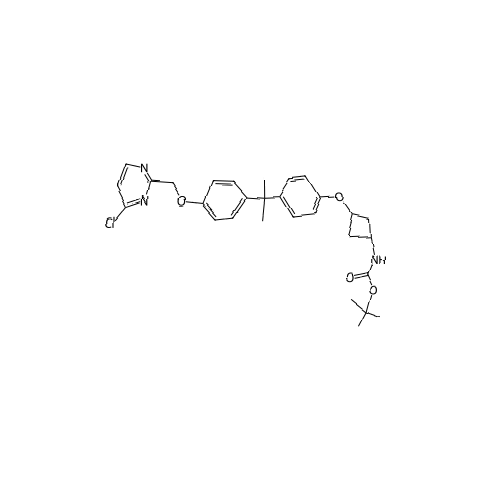 CC(C)(C)OC(=O)NC1CC(Oc2ccc(C(C)(C)c3ccc(OCc4nccc(Cl)n4)cc3)cc2)C1